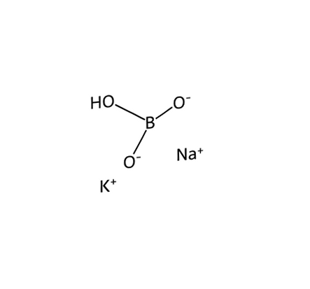 [K+].[Na+].[O-]B([O-])O